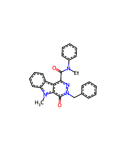 CCN(C(=O)c1nn(Cc2ccccc2)c(=O)c2c1c1ccccc1n2C)c1ccccc1